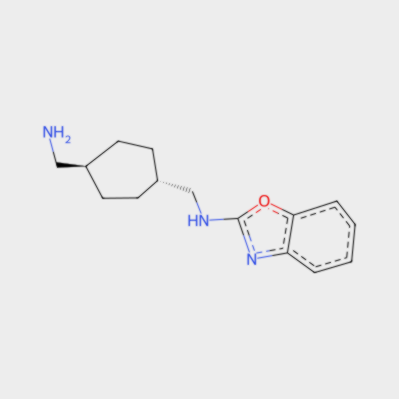 NC[C@H]1CC[C@H](CNc2nc3ccccc3o2)CC1